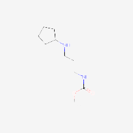 CC(C)(C)OC(=O)NCCCNC1CCCC1